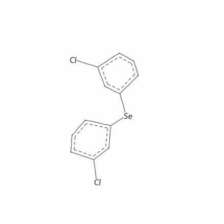 Clc1cccc([Se]c2cccc(Cl)c2)c1